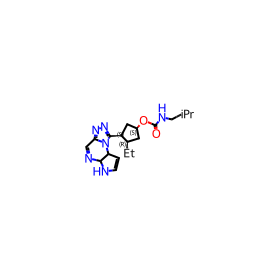 CC[C@@H]1C[C@H](OC(=O)NCC(C)C)C[C@@H]1c1nnc2n1C1C=CNC1N=C2